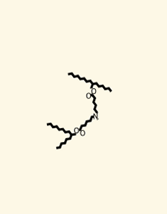 CCCCCCCCC(CCCCCC)COC(=O)CCCCCN(C)CCCCCC(=O)OCC(CCCCCC)CCCCCCCC